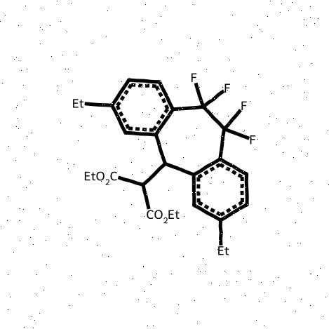 CCOC(=O)C(C(=O)OCC)C1c2cc(CC)ccc2C(F)(F)C(F)(F)c2ccc(CC)cc21